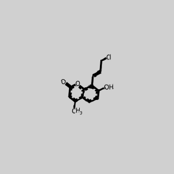 Cc1cc(=O)oc2c(C=CCCl)c(O)ccc12